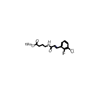 CC(C)(C)OC(=O)CCCNC(=O)/C=C/c1cccc(Cl)c1F